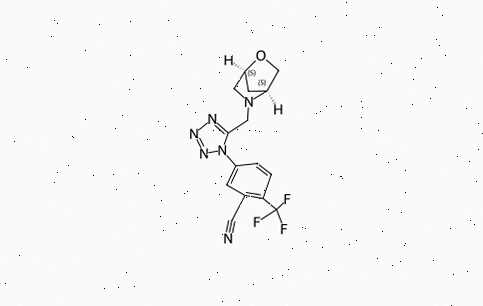 N#Cc1cc(-n2nnnc2CN2C[C@@H]3C[C@H]2CO3)ccc1C(F)(F)F